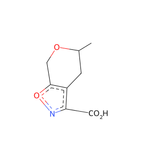 CC1Cc2c(C(=O)O)noc2CO1